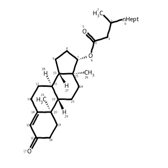 CCCCCCCC(C)CC(=O)O[C@H]1CC[C@H]2[C@@H]3CCC4=CC(=O)CC[C@]4(C)[C@H]3CC[C@]12C